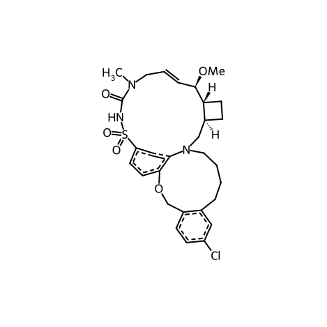 CO[C@@H]1/C=C/CN(C)C(=O)NS(=O)(=O)c2ccc3c(c2)N(CCCCc2cc(Cl)ccc2CO3)C[C@@H]2CC[C@H]21